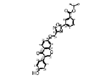 CC(C)OC(=O)c1cccc(-c2nc(COc3ccc4c(=O)c(-c5ccc(O)cc5)coc4c3)no2)c1